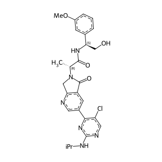 COc1cccc([C@@H](CO)NC(=O)[C@@H](C)N2Cc3ncc(-c4nc(NC(C)C)ncc4Cl)cc3C2=O)c1